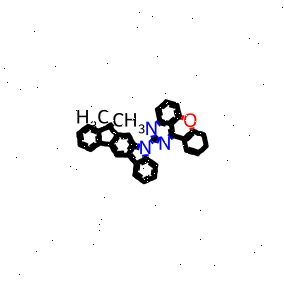 CC1(C)c2ccccc2-c2cc3c4ccccc4n(-c4nc5c6c(cccc6n4)OC4=C5C=CCC4)c3cc21